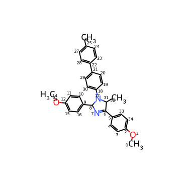 COc1ccc(C2=NC(c3ccc(OC)cc3)N(c3ccc(-c4ccc(C)cc4)cc3)C2C)cc1